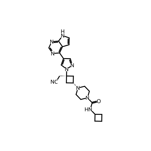 N#CC[C@]1(n2cc(-c3ncnc4[nH]ccc34)cn2)C[C@H](N2CCN(C(=O)NC3CCC3)CC2)C1